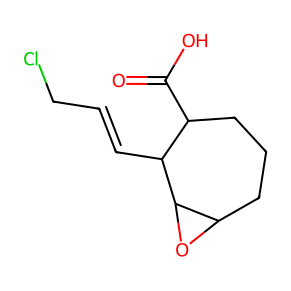 O=C(O)C1CCCC2OC2C1C=CCCl